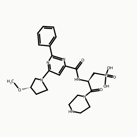 CO[C@H]1CCN(c2cc(C(=O)N[C@@H](CP(=O)(O)O)C(=O)N3CCNCC3)nc(-c3ccccc3)n2)C1